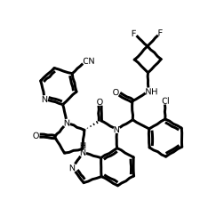 N#Cc1ccnc(N2C(=O)CC[C@H]2C(=O)N(c2cccc3cn[nH]c23)C(C(=O)NC2CC(F)(F)C2)c2ccccc2Cl)c1